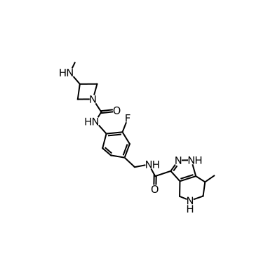 CNC1CN(C(=O)Nc2ccc(CNC(=O)c3n[nH]c4c3CNCC4C)cc2F)C1